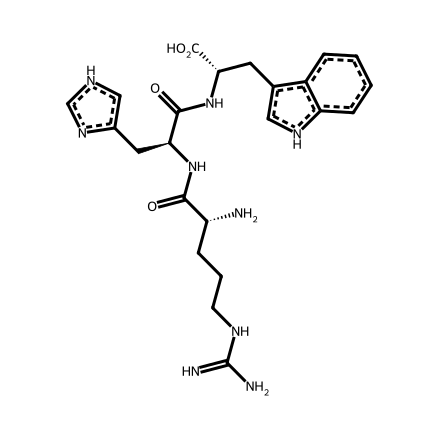 N=C(N)NCCC[C@@H](N)C(=O)N[C@@H](Cc1c[nH]cn1)C(=O)N[C@@H](Cc1c[nH]c2ccccc12)C(=O)O